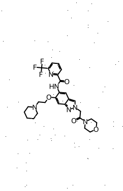 O=C(Nc1cc2cn(CC(=O)N3CCOCC3)nc2cc1OCCN1CCCCC1)c1cccc(C(F)(F)F)n1